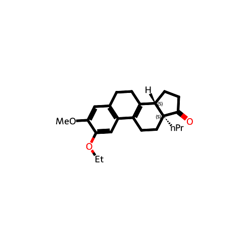 CCC[C@]12CCC3=C(CCc4cc(OC)c(OCC)cc43)[C@@H]1CCC2=O